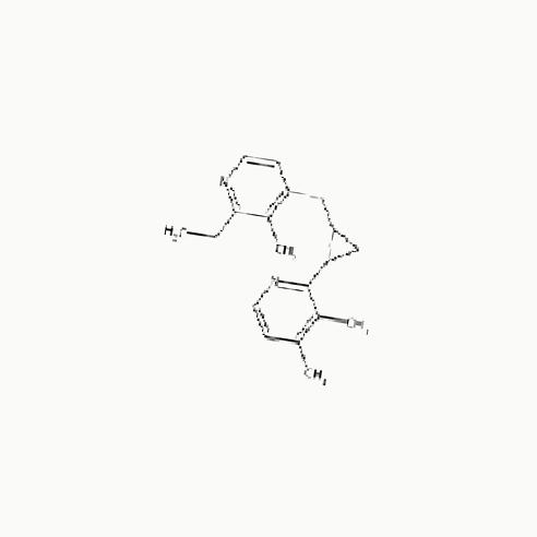 CCc1nccc(CC2CC2c2nccc(C)c2C)c1C